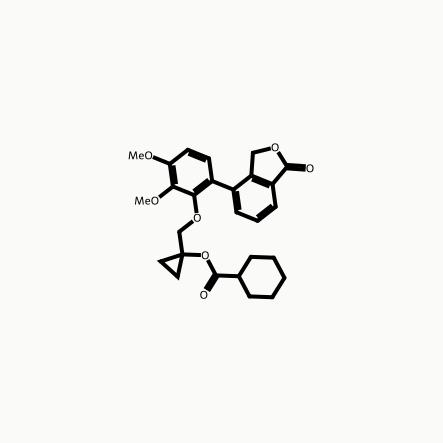 COc1ccc(-c2cccc3c2COC3=O)c(OCC2(OC(=O)C3CCCCC3)CC2)c1OC